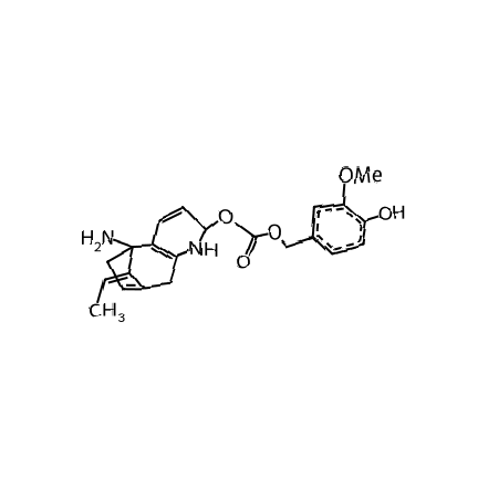 C/C=C1\C2=CCC1(N)C1=C(C2)NC(OC(=O)OCc2ccc(O)c(OC)c2)C=C1